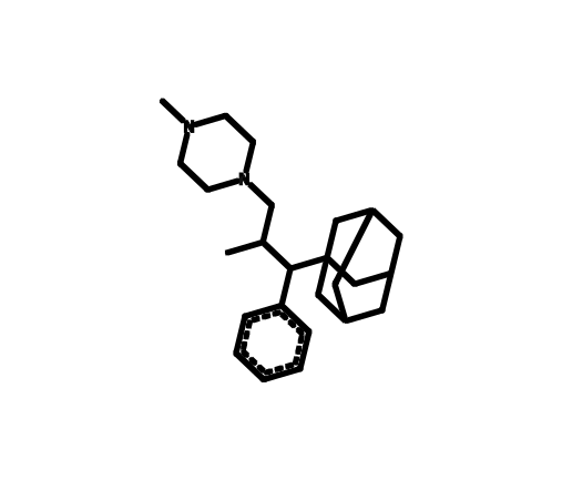 CC(CN1CCN(C)CC1)C(c1ccccc1)C12CC3CC(CC(C3)C1)C2